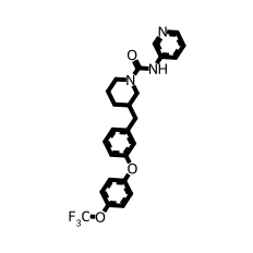 O=C(Nc1cccnc1)N1CCCC(Cc2cccc(Oc3ccc(OC(F)(F)F)cc3)c2)C1